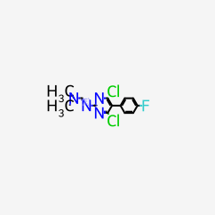 CN(C)/C=N/c1nc(Cl)c(-c2ccc(F)cc2)c(Cl)n1